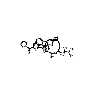 CC(C)[C@H](O)C(=O)N[C@H]1Cc2ccc3c(c2)C2(c4ccccc4N[C@H]2O3)c2oc(nc2-c2nc(C(=O)N3CCCC3)co2)[C@H](C(C)C)NC1=O